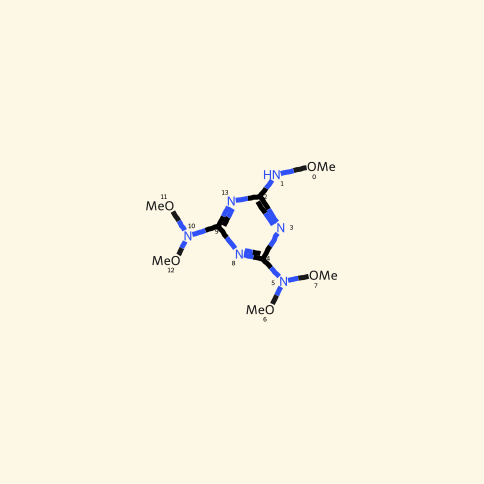 CONc1nc(N(OC)OC)nc(N(OC)OC)n1